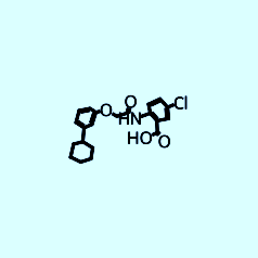 O=C(COc1cccc(C2CCCCC2)c1)Nc1ccc(Cl)cc1C(=O)O